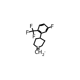 [CH2]N1CCC(c2cc(F)ccc2C(F)(F)F)CC1